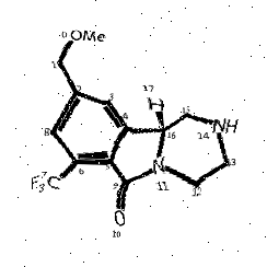 COCc1cc2c(c(C(F)(F)F)c1)C(=O)N1CCNC[C@@H]21